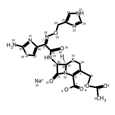 CC(=O)OCC1=C(C(=O)[O-])N2C(=O)[C@@H](NC(=O)/C(=N\OCc3c[nH]cn3)c3csc(N)n3)[C@H]2SC1.[Na+]